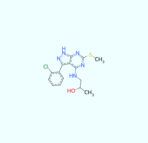 CSc1nc(NCC(C)O)c2c(-c3ccccc3Cl)n[nH]c2n1